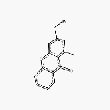 Cc1cc(CC(C)C)cc2oc3ccccc3c(=O)c12